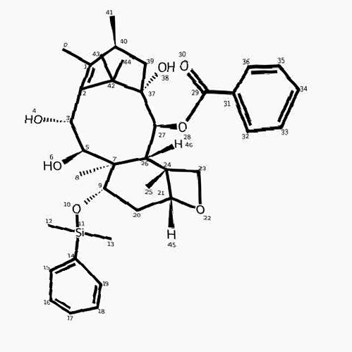 CC1=C2[C@@H](O)[C@H](O)[C@]3(C)[C@@H](O[Si](C)(C)c4ccccc4)C[C@H]4OC[C@@]4(C)[C@H]3[C@H](OC(=O)c3ccccc3)[C@](O)(C[C@@H]1C)C2(C)C